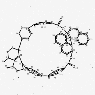 CC1CCC2C3=CC=C(CC3)C3=CC=C(CC3)C(=O)Oc3ccc4ccccc4c3-c3c(ccc4ccccc34)OC(=O)C3=C=C=C(C=C3)C3=C=C=C(C=C3)C3CC[C@@H](C)C1=C32